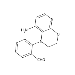 Nc1ccnc2c1N(c1ccccc1C=O)CCO2